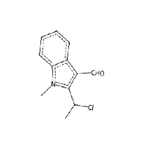 CC(Cl)c1c(C=O)c2ccccc2n1C